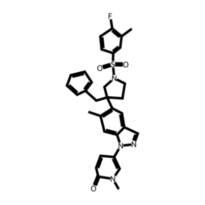 Cc1cc(S(=O)(=O)N2CCC(Cc3ccccc3)(c3cc4cnn(-c5ccc(=O)n(C)c5)c4cc3C)C2)ccc1F